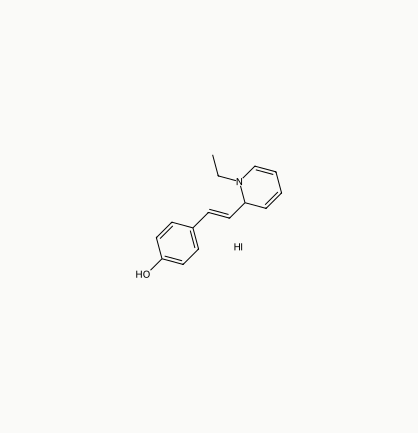 CCN1C=CC=CC1/C=C/c1ccc(O)cc1.I